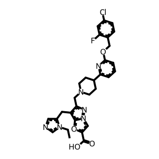 CCn1cncc1Cc1c(CN2CCC(c3cccc(OCc4ccc(Cl)cc4F)n3)CC2)nn2cc(C(=O)O)oc12